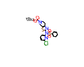 CC(C)(C)OC(=O)N1CCc2nc(N(c3cccc(Cl)n3)S(=O)(=O)c3ccccc3)sc2C1